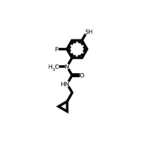 CN(C(=O)NCC1CC1)c1ccc(S)cc1F